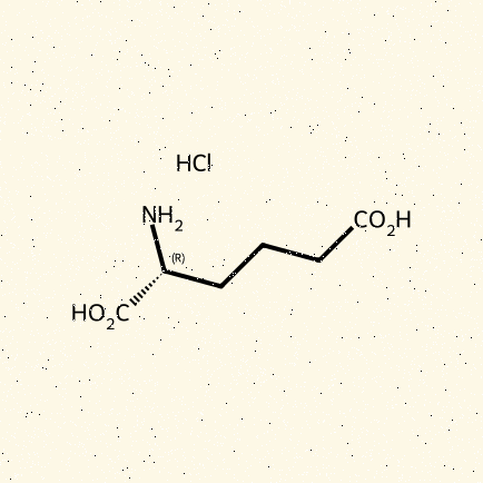 Cl.N[C@H](CCCC(=O)O)C(=O)O